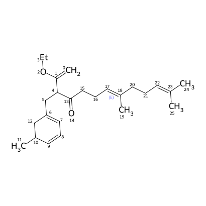 C=C(OCC)C(CC1=CC=CC(C)C1)C(=O)CC/C=C(\C)CCC=C(C)C